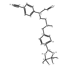 CN(CCN(CC=O)c1ccc(C#N)cc1)Cc1ccc(B2OC(C)(C)C(C)(C)O2)cc1